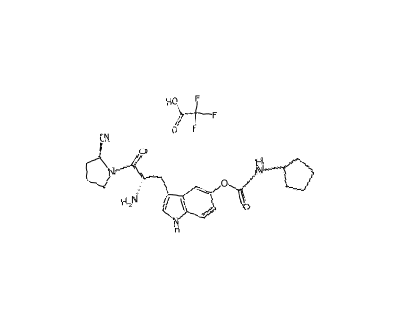 N#C[C@@H]1CCCN1C(=O)[C@@H](N)Cc1c[nH]c2ccc(OC(=O)NC3CCCC3)cc12.O=C(O)C(F)(F)F